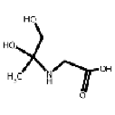 CC(O)(CO)NCC(=O)O